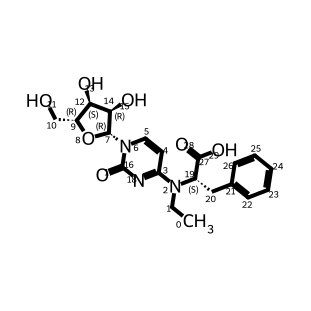 CCN(c1ccn([C@@H]2O[C@H](CO)[C@@H](O)[C@H]2O)c(=O)n1)[C@@H](Cc1ccccc1)C(=O)O